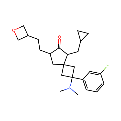 CN(C)C1(c2cccc(F)c2)CC2(CC(CCC3COC3)C(=O)C2CC2CC2)C1